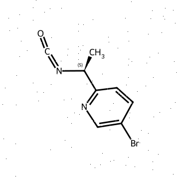 C[C@H](N=C=O)c1ccc(Br)cn1